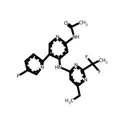 CCc1cc(Nc2cc(NC(C)=O)ncc2-c2ccc(F)cn2)nc(C(C)(F)F)n1